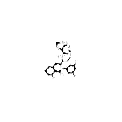 CC[C@H](Nc1ncnc2[nH]cnc12)c1cc2cccc(F)c2c(=O)n1-c1cc(F)cc(F)c1